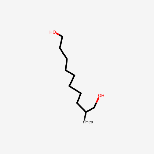 CCCCCCC(CO)CCCCCCCCO